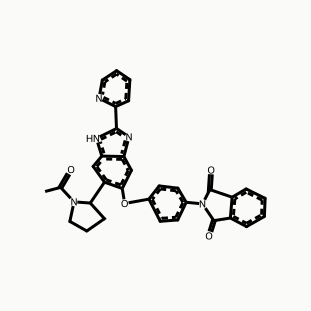 CC(=O)N1CCCC1c1cc2[nH]c(-c3ccccn3)nc2cc1Oc1ccc(N2C(=O)c3ccccc3C2=O)cc1